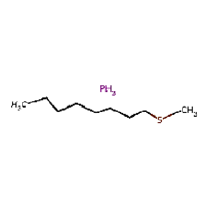 CCCCCCCCSC.P